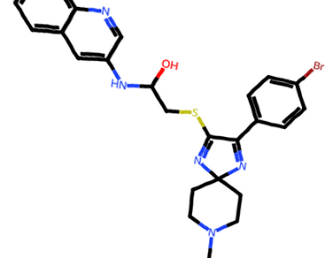 CN1CCC2(CC1)N=C(SCC(O)Nc1cnc3ccccc3c1)C(c1ccc(Br)cc1)=N2